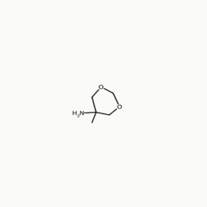 CC1(N)COCOC1